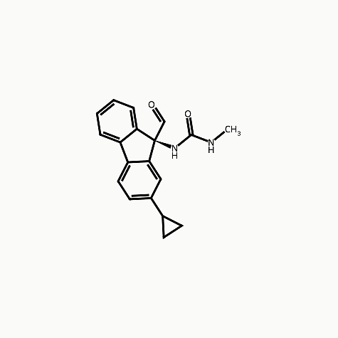 CNC(=O)N[C@]1(C=O)c2ccccc2-c2ccc(C3CC3)cc21